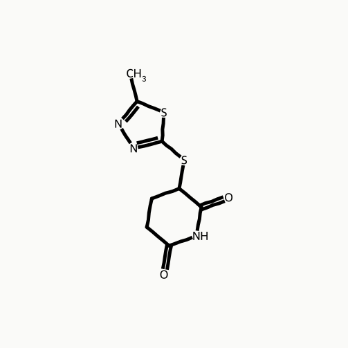 Cc1nnc(SC2CCC(=O)NC2=O)s1